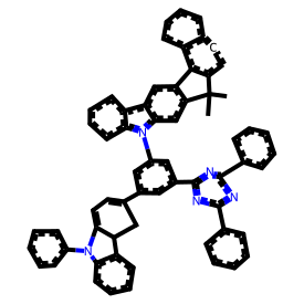 CC1(C)c2cc3c(cc2-c2c1ccc1ccccc21)c1ccccc1n3-c1cc(C2=CC=C3C(C2)c2ccccc2N3c2ccccc2)cc(-c2nc(-c3ccccc3)nc(-c3ccccc3)n2)c1